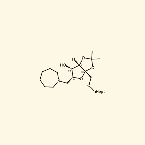 CCCCCCCOC[C@@]12O[C@@H](CN3CCCCCC3)[C@@H](O)[C@@H]1OC(C)(C)O2